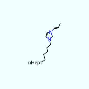 CC=CN1C=CN(CCCCCCCCCCCC)C1